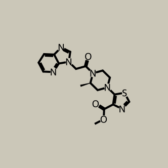 COC(=O)c1ncsc1N1CCN(C(=O)Cn2cnc3cccnc32)[C@H](C)C1